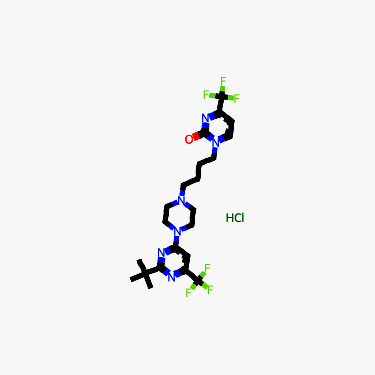 CC(C)(C)c1nc(N2CCN(CCCCn3ccc(C(F)(F)F)nc3=O)CC2)cc(C(F)(F)F)n1.Cl